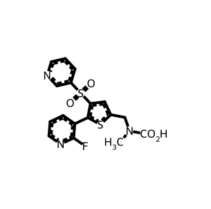 CN(Cc1cc(S(=O)(=O)c2cccnc2)c(-c2cccnc2F)s1)C(=O)O